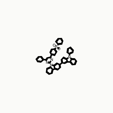 O=S(=O)(c1ccccc1)c1ccc(-c2cc(-c3ccccc3)nc(-n3c4ccccc4c4ccc(-c5ccc6c(c5)c5ccccc5n6-c5ccccc5)cc43)n2)cc1